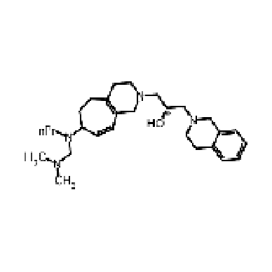 CCCN(CN(C)C)C1C=CC2=C(CC1)CCN(C[C@H](O)CN1CCc3ccccc3C1)C2